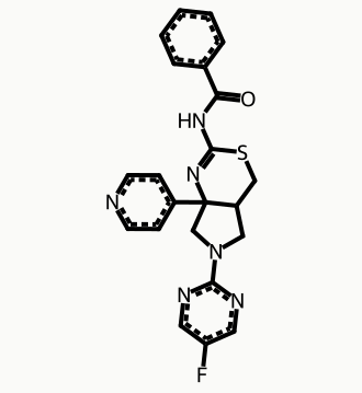 O=C(NC1=NC2(c3ccncc3)CN(c3ncc(F)cn3)CC2CS1)c1ccccc1